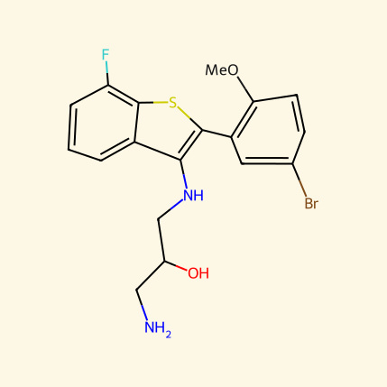 COc1ccc(Br)cc1-c1sc2c(F)cccc2c1NCC(O)CN